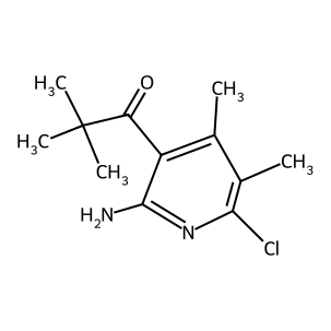 Cc1c(Cl)nc(N)c(C(=O)C(C)(C)C)c1C